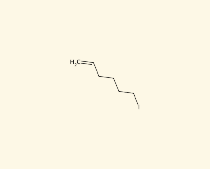 C=CCCCCI